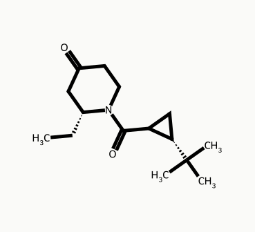 CC[C@@H]1CC(=O)CCN1C(=O)C1C[C@@H]1C(C)(C)C